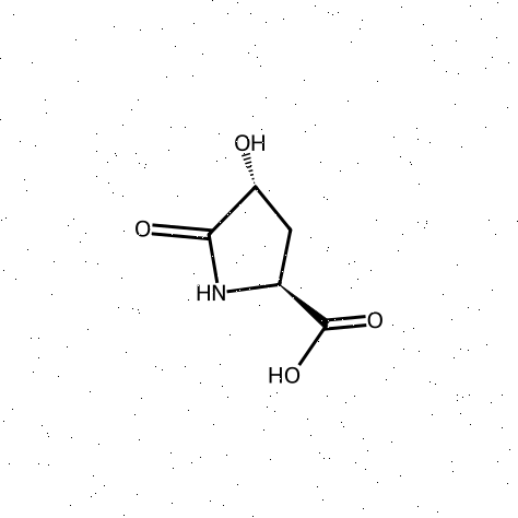 O=C1N[C@H](C(=O)O)C[C@H]1O